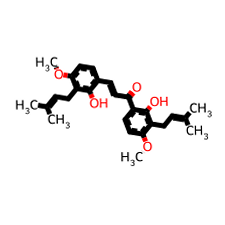 COc1ccc(/C=C/C(=O)c2ccc(OC)c(CC=C(C)C)c2O)c(O)c1CC=C(C)C